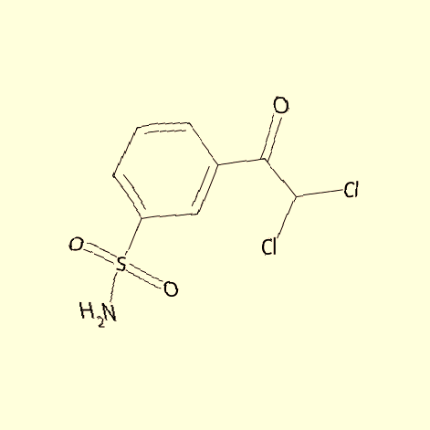 NS(=O)(=O)c1cccc(C(=O)C(Cl)Cl)c1